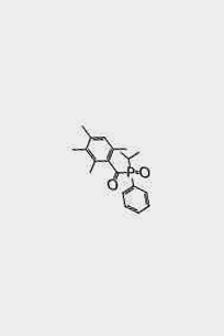 Cc1cc(C)c(C(=O)P(=O)(c2ccccc2)C(C)C)c(C)c1C